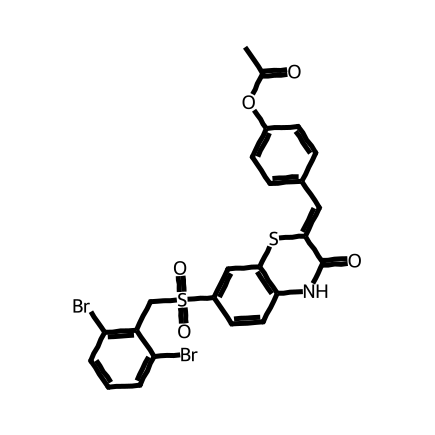 CC(=O)Oc1ccc(C=C2Sc3cc(S(=O)(=O)Cc4c(Br)cccc4Br)ccc3NC2=O)cc1